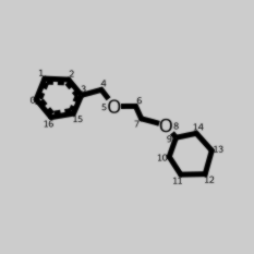 [c]1ccc(COCCOC2CCCCC2)cc1